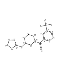 CC(C)(C)c1cccc(C(=O)N2CCCC(CN3CCCC3)C2)c1